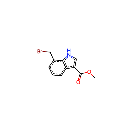 COC(=O)c1c[nH]c2c(CBr)cccc12